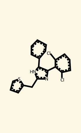 Clc1cccc(Cl)c1-c1nc(Cc2cccs2)[nH]c1-c1ccccc1